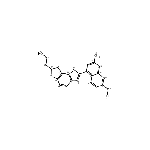 COc1cnc2c(-c3nc4ccc5c(c4s3)CC(CCO)O5)cc(C)cc2n1